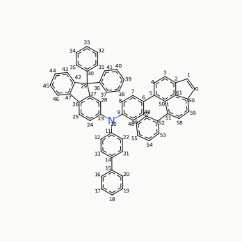 C1=Cc2ccc(-c3ccc(N(c4ccc(-c5ccccc5)cc4)c4ccc5c(c4)C(c4ccccc4)(c4ccccc4)c4ccccc4-5)cc3)c3c(-c4ccccc4)ccc1c23